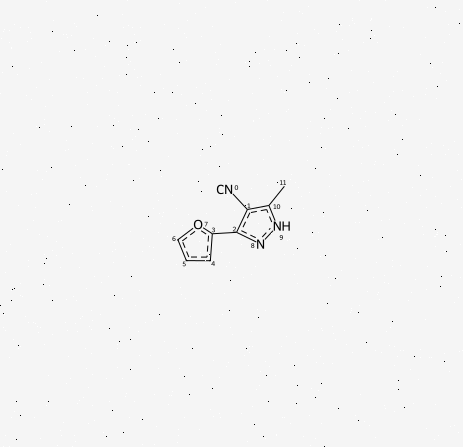 [C-]#[N+]c1c(-c2ccco2)n[nH]c1C